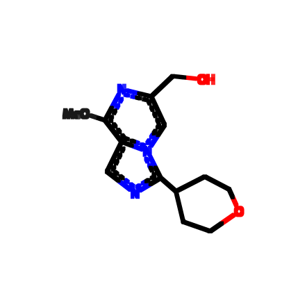 COc1nc(CO)cn2c(C3CCOCC3)ncc12